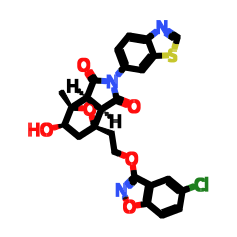 C[C@@]12O[C@@](CCOc3noc4ccc(Cl)cc34)(C[C@H]1O)[C@@H]1C(=O)N(c3ccc4ncsc4c3)C(=O)[C@@H]12